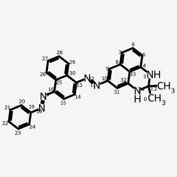 CC1(C)Nc2cccc3cc(N=Nc4ccc(N=Nc5ccccc5)c5ccccc45)cc(c23)N1